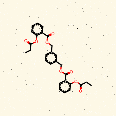 CCC(=O)Oc1ccccc1C(=O)OCc1cccc(COC(=O)c2ccccc2OC(=O)CC)c1